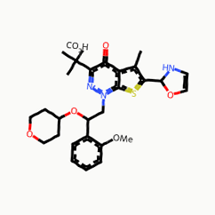 COc1ccccc1C(Cn1nc(C(C)(C)C(=O)O)c(=O)c2c(C)c(C3NC=CO3)sc21)OC1CCOCC1